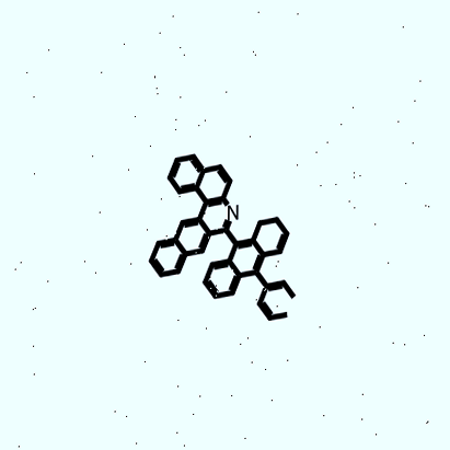 C/C=C\C(=C/C)c1c2c(c(-c3nc4ccc5ccccc5c4c4cc5ccccc5cc34)c3ccccc13)CCC=C2